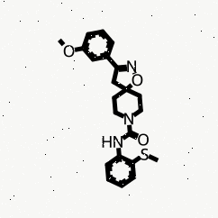 COc1cccc(C2=NOC3(CCN(C(=O)Nc4ccccc4SC)CC3)C2)c1